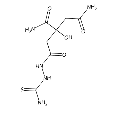 NC(=O)CC(O)(CC(=O)NNC(N)=S)C(N)=O